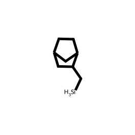 [SiH3]CC1CC2CCC1C2